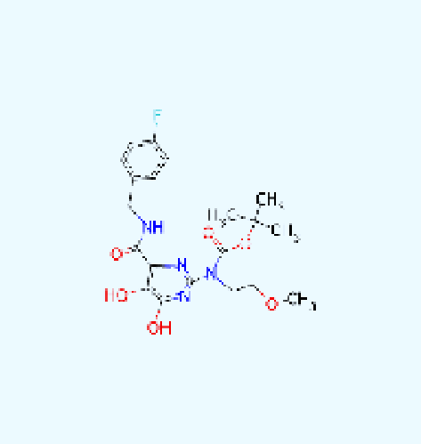 COCCN(C(=O)OC(C)(C)C)c1nc(O)c(O)c(C(=O)NCc2ccc(F)cc2)n1